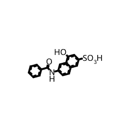 O=C(Nc1ccc2cc(S(=O)(=O)O)cc(O)c2c1)c1ccccc1